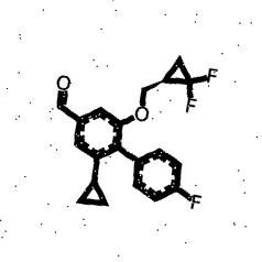 O=Cc1cc(OC[C@H]2CC2(F)F)c(-c2ccc(F)cc2)c(C2CC2)c1